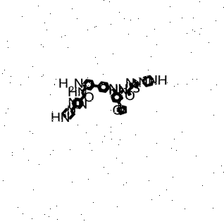 Nc1ccc(-c2ccc(Nc3ccc(-c4ccco4)cc3NC(=O)c3ncc(N4CCNCC4)s3)cc2)cc1NC(=O)c1cnc(N2CCNCC2)cn1